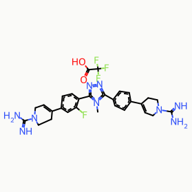 Cn1c(-c2ccc(C3=CCN(C(=N)N)CC3)cc2)nnc1-c1ccc(C2=CCN(C(=N)N)CC2)cc1F.O=C(O)C(F)(F)F